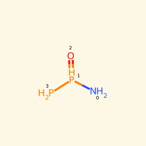 N[PH](=O)P